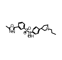 CCCN1CCC(c2ccc(NS(=O)(=O)c3cccc(-c4nnc(C)o4)c3)cc2)C1.Cl